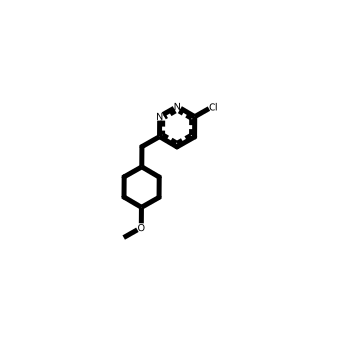 COC1CCC(Cc2ccc(Cl)nn2)CC1